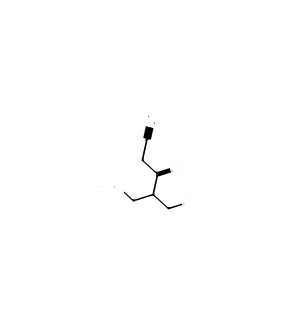 CCC(CC)C(=O)CC#N